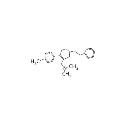 Cc1ccc(C2=C(CN(C)C)CC(CCc3ccccc3)CC2)cc1